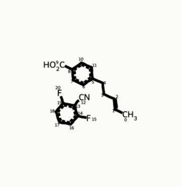 C/C=C/CCc1ccc(C(=O)O)cc1.N#Cc1c(F)cccc1F